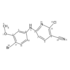 COc1cc(Nc2ccc(C#N)c(Cl)n2)ccc1Br